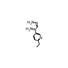 CCc1ccc(N(N)/C=N\N)cn1